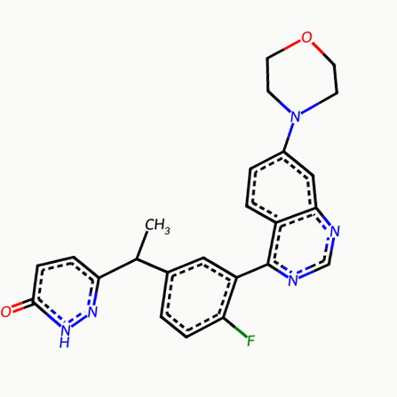 CC(c1ccc(F)c(-c2ncnc3cc(N4CCOCC4)ccc23)c1)c1ccc(=O)[nH]n1